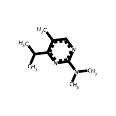 Cc1cnc(N(C)C)nc1C(C)C